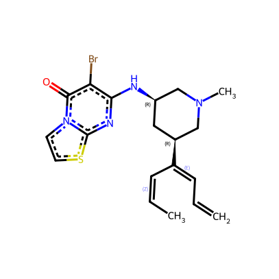 C=C/C=C(\C=C/C)[C@H]1C[C@@H](Nc2nc3sccn3c(=O)c2Br)CN(C)C1